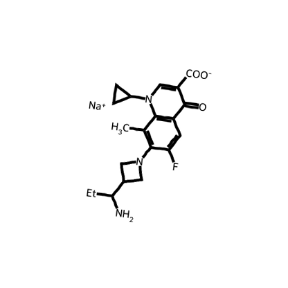 CCC(N)C1CN(c2c(F)cc3c(=O)c(C(=O)[O-])cn(C4CC4)c3c2C)C1.[Na+]